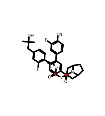 CC(C)(O)Cc1ccc(-c2ccc(C(=O)N3C4CCC3CC(NC(=O)OC(C)(C)C)C4)cc2-c2ccc(C#N)c(F)c2)c(F)c1